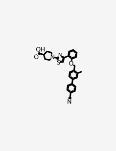 Cc1cc(-c2ccc(C#N)cc2)ccc1COc1ccccc1-c1csc(N2CCC(C(=O)O)CC2)n1